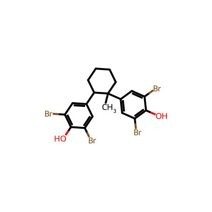 CC1(c2cc(Br)c(O)c(Br)c2)CCCCC1c1cc(Br)c(O)c(Br)c1